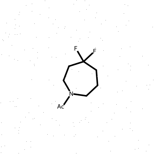 CC(=O)N1CCCC(F)(F)CC1